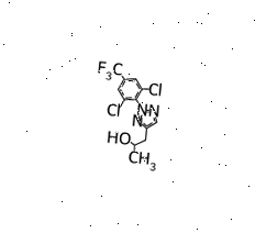 CC(O)Cc1cnn(-c2c(Cl)cc(C(F)(F)F)cc2Cl)n1